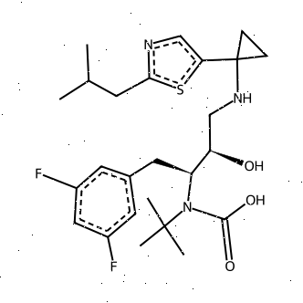 CC(C)Cc1ncc(C2(NC[C@@H](O)[C@H](Cc3cc(F)cc(F)c3)N(C(=O)O)C(C)(C)C)CC2)s1